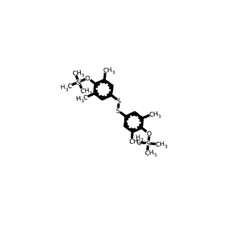 Cc1cc(SSc2cc(C)c(O[Si](C)(C)C)c(C)c2)cc(C)c1O[Si](C)(C)C